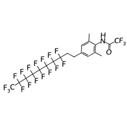 Cc1cc(CCC(F)(F)C(F)(F)C(F)(F)C(F)(F)C(F)(F)C(F)(F)C(F)(F)C(F)(F)F)cc(C)c1NC(=O)C(F)(F)F